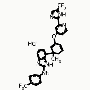 CC1(c2cccc3nc(Nc4ccc(C(F)(F)F)cc4)[nH]c23)C=C(Oc2ccnc(-c3ncc(C(F)(F)F)[nH]3)c2)C=CC1.Cl